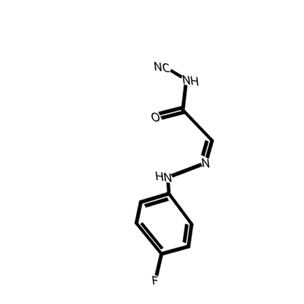 N#CNC(=O)/C=N\Nc1ccc(F)cc1